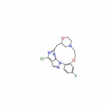 Fc1ccc2c(c1)OCCN1CCOC(Cc3nc(Cl)c4cnn-2c4n3)C1